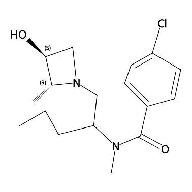 CCCC(CN1C[C@H](O)[C@H]1C)N(C)C(=O)c1ccc(Cl)cc1